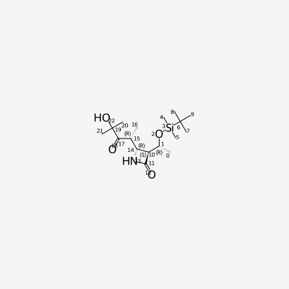 C[C@@H](O[Si](C)(C)C(C)(C)C)[C@H]1C(=O)N[C@@H]1[C@@H](C)C(=O)C(C)(C)O